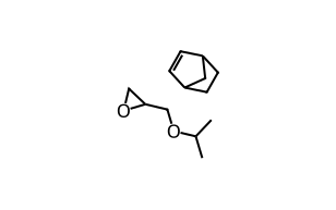 C1=CC2CCC1C2.CC(C)OCC1CO1